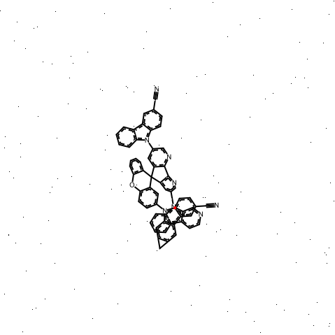 N#Cc1ccc2c(c1)c1ccccc1n2-c1cnc2c(c1)C1(c3ccccc3Oc3ccc(-n4c5ccc(C#N)cc5c5cc6c(cc54)C6)cc31)c1cc(-n3c4ccccc4c4ccncc43)cnc1-2